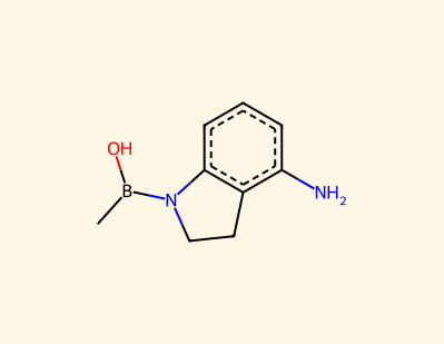 CB(O)N1CCc2c(N)cccc21